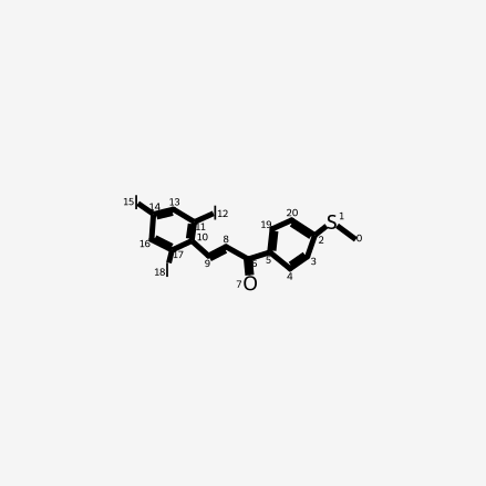 CSc1ccc(C(=O)C=Cc2c(I)cc(I)cc2I)cc1